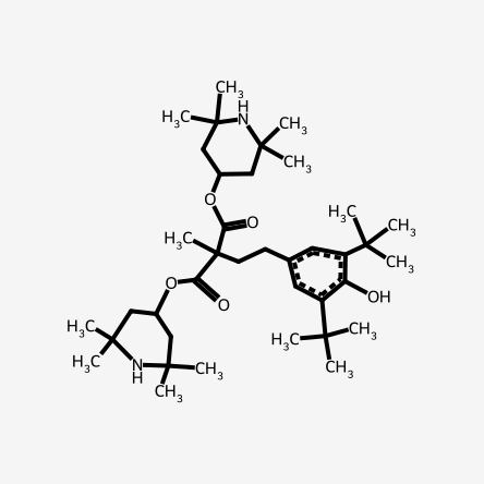 CC1(C)CC(OC(=O)C(C)(CCc2cc(C(C)(C)C)c(O)c(C(C)(C)C)c2)C(=O)OC2CC(C)(C)NC(C)(C)C2)CC(C)(C)N1